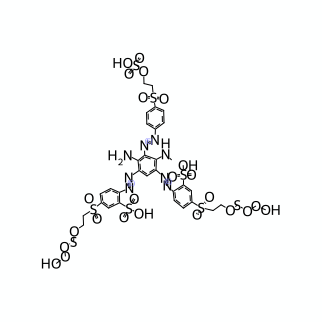 CNc1c(/N=N/c2ccc(S(=O)(=O)CCOSOOO)cc2S(=O)(=O)O)cc(/N=N/c2ccc(S(=O)(=O)CCOSOOO)cc2S(=O)(=O)O)c(N)c1/N=N/c1ccc(S(=O)(=O)CCOS(=O)(=O)O)cc1